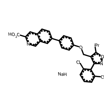 CC(C)c1onc(-c2c(Cl)cccc2Cl)c1COc1ccc(-c2ccc3cc(C(=O)O)ncc3c2)cc1.[NaH]